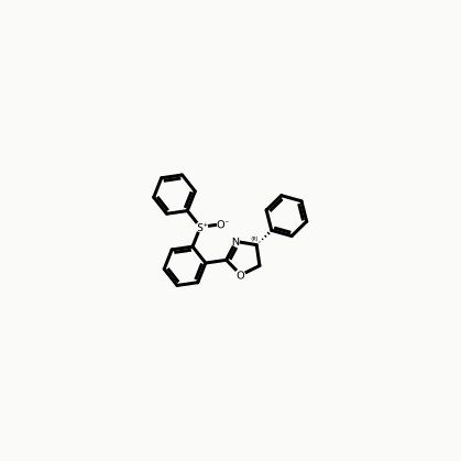 [O-][S+](c1ccccc1)c1ccccc1C1=N[C@H](c2ccccc2)CO1